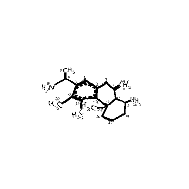 C=C1Cc2cc(C(C)N)c(C)c(C)c2C2(C)CCCC(N)C12